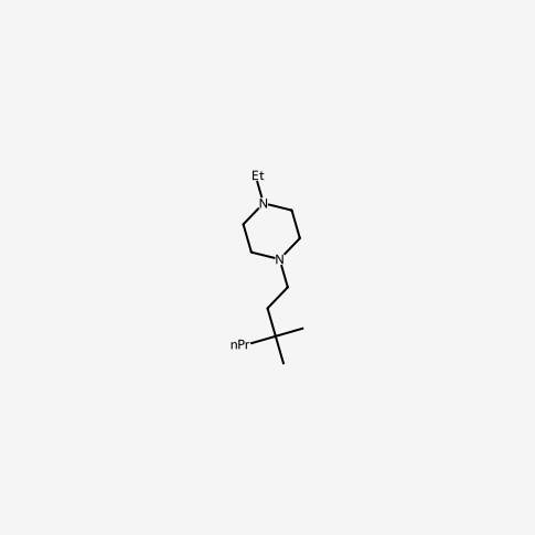 CCCC(C)(C)CCN1CCN(CC)CC1